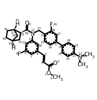 COC(=O)/C=C/c1cc(F)cc(N(Cc2ccc(-c3ccc(N(C)C)cc3)cc2F)C(=O)[C@H]2C[C@@H]3CC[C@H]2C3)c1